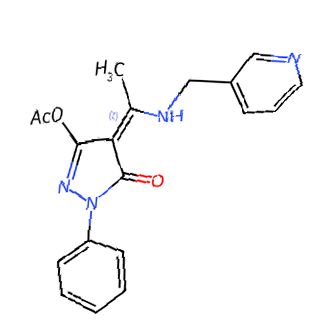 CC(=O)OC1=NN(c2ccccc2)C(=O)/C1=C(/C)NCc1cccnc1